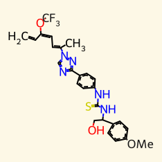 C=C/C(=C\C=C(/C)n1cnc(-c2ccc(NC(=S)NC(CO)c3ccc(OC)cc3)cc2)n1)OC(F)(F)F